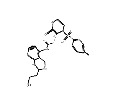 Cc1ccc(S(=O)(=O)N2C=CNC(=O)[C@H]2CC(=O)Nc2cccc3c2CNC(CCO)N3)cc1